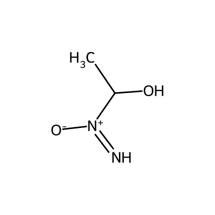 CC(O)[N+](=N)[O-]